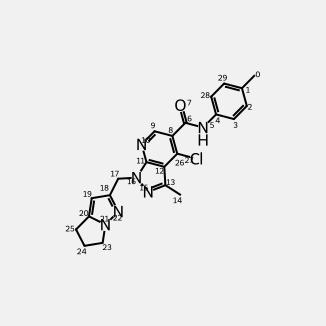 Cc1ccc(NC(=O)c2cnc3c(c(C)nn3Cc3cc4n(n3)CCC4)c2Cl)cc1